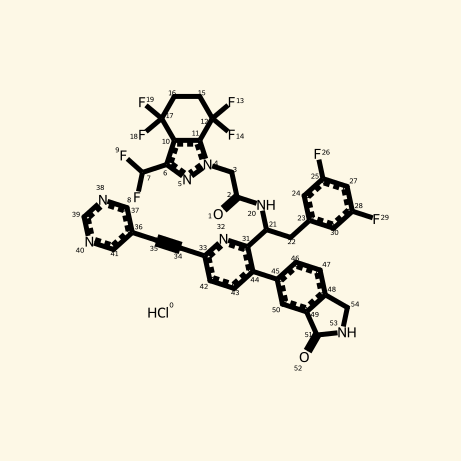 Cl.O=C(Cn1nc(C(F)F)c2c1C(F)(F)CCC2(F)F)NC(Cc1cc(F)cc(F)c1)c1nc(C#Cc2cncnc2)ccc1-c1ccc2c(c1)C(=O)NC2